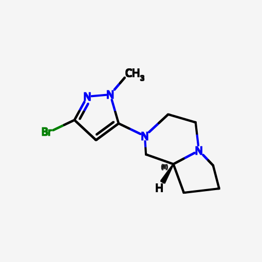 Cn1nc(Br)cc1N1CCN2CCC[C@@H]2C1